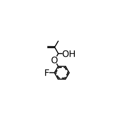 C=C(C)C(O)Oc1ccccc1F